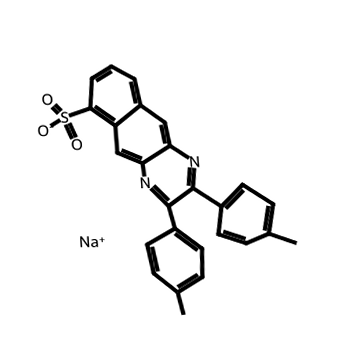 Cc1ccc(-c2nc3cc4cccc(S(=O)(=O)[O-])c4cc3nc2-c2ccc(C)cc2)cc1.[Na+]